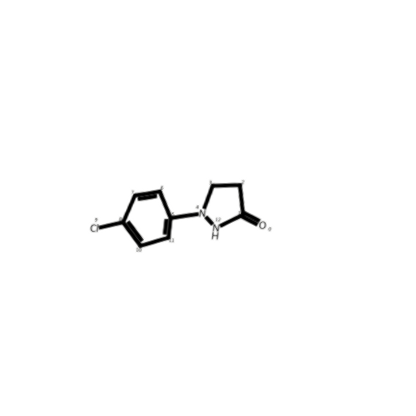 O=C1CCN(c2ccc(Cl)cc2)N1